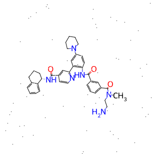 CN(CCN)C(=O)c1cccc(C(=O)Nc2ccc(N3CCCCC3)cc2-c2cc(C(=O)N[C@H]3CCCc4ccccc43)ccn2)c1